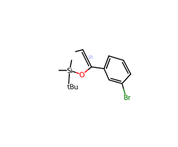 C/C=C(\O[Si](C)(C)C(C)(C)C)c1cccc(Br)c1